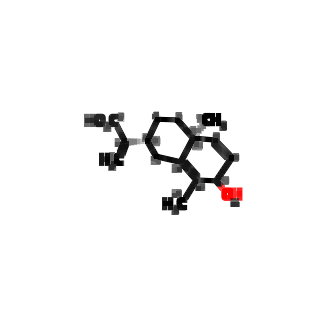 C=C(C(=O)O)[C@@H]1CC[C@@]2(C)C=CC(O)C(C)=C2C1